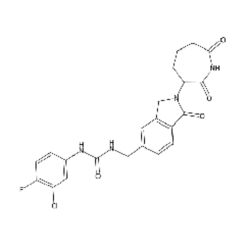 O=C1CCCC(N2Cc3cc(CNC(=O)Nc4ccc(F)c(Cl)c4)ccc3C2=O)C(=O)N1